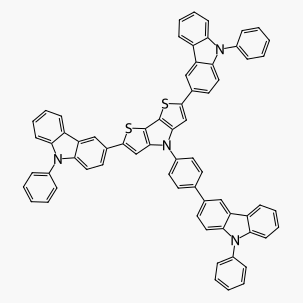 c1ccc(-n2c3ccccc3c3cc(-c4ccc(-n5c6cc(-c7ccc8c(c7)c7ccccc7n8-c7ccccc7)sc6c6sc(-c7ccc8c(c7)c7ccccc7n8-c7ccccc7)cc65)cc4)ccc32)cc1